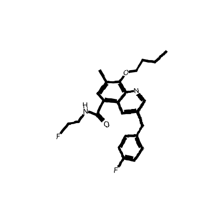 CCCCOc1c(C)cc(C(=O)NCCF)c2cc(Cc3ccc(F)cc3)cnc12